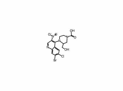 O=C(O)N1CCN(c2c([N+](=O)[O-])cnc3cc(Br)c(Cl)cc23)C(CO)C1